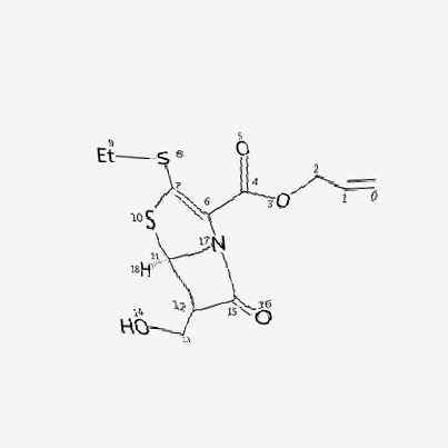 C=CCOC(=O)C1=C(SCC)S[C@@H]2C(CO)C(=O)N12